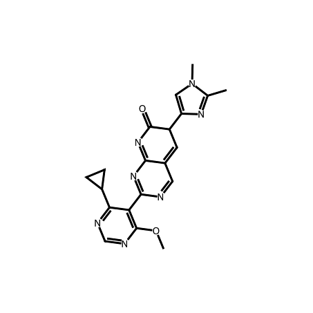 COc1ncnc(C2CC2)c1-c1ncc2c(n1)=NC(=O)C(c1cn(C)c(C)n1)C=2